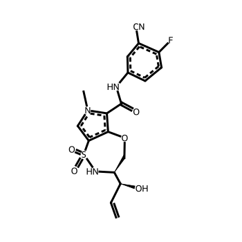 C=C[C@H](O)[C@@H]1COc2c(cn(C)c2C(=O)Nc2ccc(F)c(C#N)c2)S(=O)(=O)N1